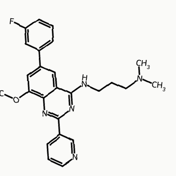 COc1cc(-c2cccc(F)c2)cc2c(NCCCN(C)C)nc(-c3cccnc3)nc12